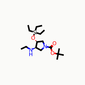 CCN[C@@H]1CN(C(=O)OC(C)(C)C)C[C@H]1O[Si](CC)(CC)CC